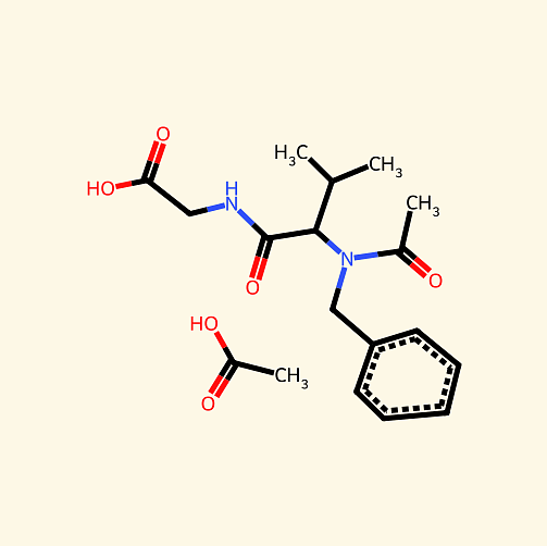 CC(=O)N(Cc1ccccc1)C(C(=O)NCC(=O)O)C(C)C.CC(=O)O